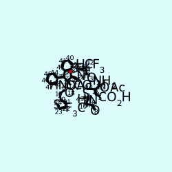 CC(=O)OC(N)C1=C(C(=O)O)N2C(=O)[C@@H](C(F)(F)F)[C@H]2SC1.CC(=O)OC(NC(=O)Cc1cccs1)(C1=C(C(=O)O)N2C(=O)[C@H](C(F)(F)F)[C@H]2SC1)C(c1ccccc1)c1ccccc1